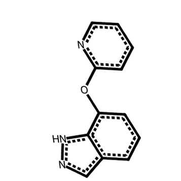 c1ccc(Oc2cccc3cn[nH]c23)nc1